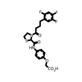 O=C(O)COc1ccc(NC(=O)C2SCCN2C(=O)CCCc2cc(F)c(F)cc2F)cc1